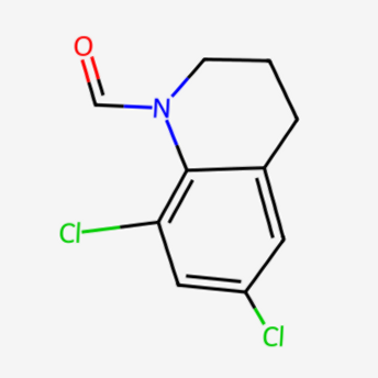 O=CN1CCCc2cc(Cl)cc(Cl)c21